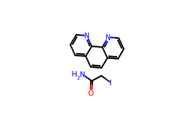 NC(=O)CI.c1cnc2c(c1)ccc1cccnc12